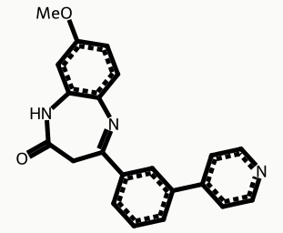 COc1ccc2c(c1)NC(=O)CC(c1cccc(-c3ccncc3)c1)=N2